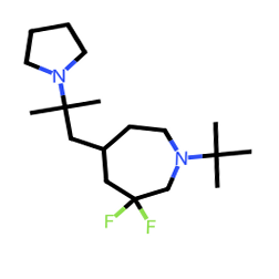 CC(C)(C)N1CCC(CC(C)(C)N2CCCC2)CC(F)(F)C1